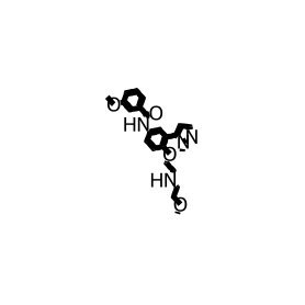 COCCNCCOc1ccc(NC(=O)c2cccc(OC)c2)cc1-c1ccnn1C